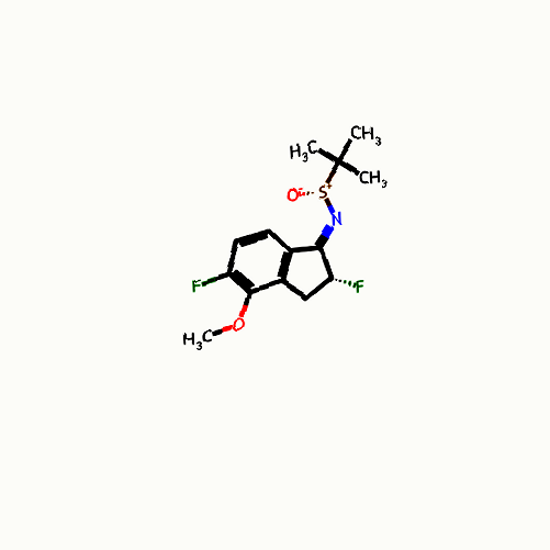 COc1c(F)ccc2c1C[C@@H](F)/C2=N/[S@+]([O-])C(C)(C)C